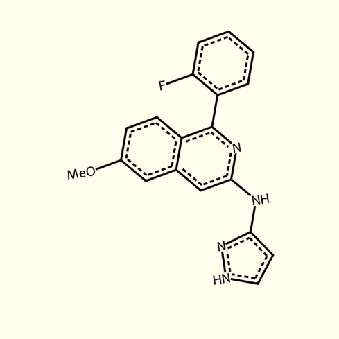 COc1ccc2c(-c3ccccc3F)nc(Nc3cc[nH]n3)cc2c1